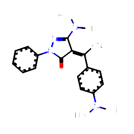 CN(C)C1=NN(c2ccccc2)C(=O)/C1=C(/C#N)c1ccc(N(C)C)cc1